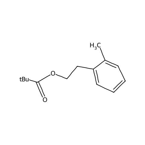 Cc1ccccc1CCOC(=O)C(C)(C)C